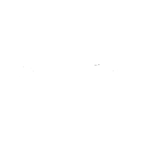 CCC[C@H]1CC[C@H](C2CC=C(c3ccccc3)CC2)CC1